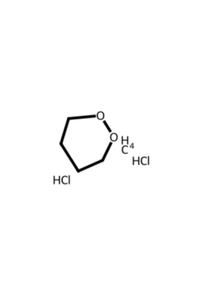 C.C1CCOOC1.Cl.Cl